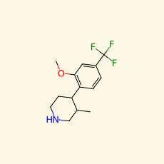 COc1cc(C(F)(F)F)ccc1C1CCNCC1C